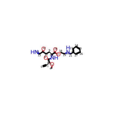 C#C[C@H](OC)C(=O)N[C@@H](CCC(=O)C=N)C(=O)OCCNCc1ccccc1